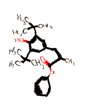 CC(Cc1cc(C(C)(C)C)c(O)c(C(C)(C)C)c1)C(=O)Oc1ccccc1